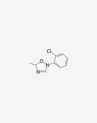 CC1N=[C]N(c2ccccc2Cl)O1